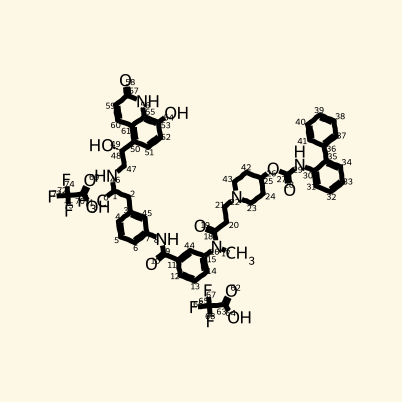 CC(Cc1cccc(NC(=O)c2cccc(N(C)C(=O)CCN3CCC(OC(=O)Nc4ccccc4-c4ccccc4)CC3)c2)c1)NC[C@H](O)c1ccc(O)c2[nH]c(=O)ccc12.O=C(O)C(F)(F)F.O=C(O)C(F)(F)F